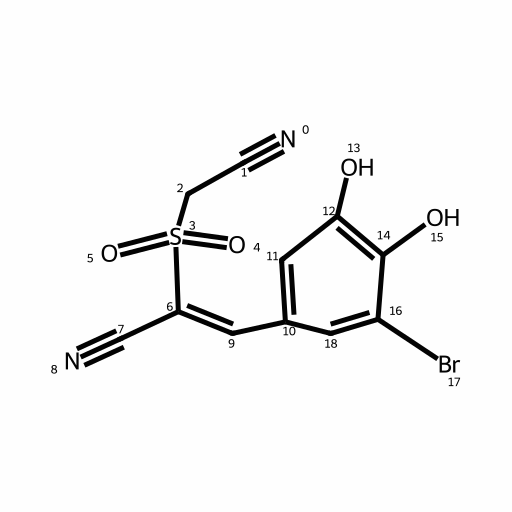 N#CCS(=O)(=O)C(C#N)=Cc1cc(O)c(O)c(Br)c1